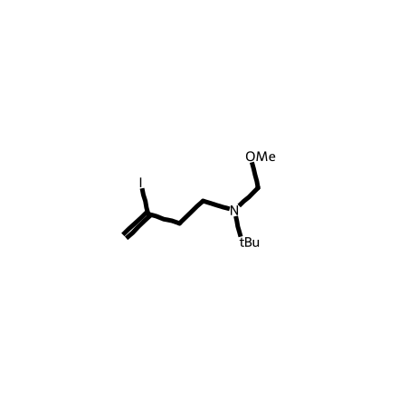 C=C(I)CCN(COC)C(C)(C)C